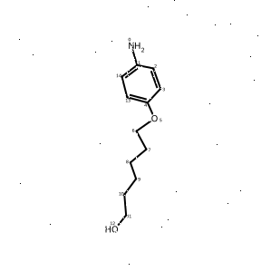 Nc1ccc(OCCCCCCO)cc1